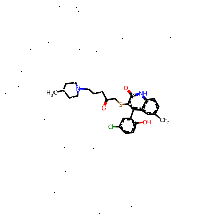 CC1CCN(CCCC(=O)CSc2c(-c3cc(Cl)ccc3O)c3cc(C(F)(F)F)ccc3[nH]c2=O)CC1